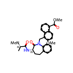 CN[C@@H](C)C(=O)N[C@H]1CCc2ccccc2N(Cc2c(OC)ccc3c(C(=O)OC)cccc23)C1=O